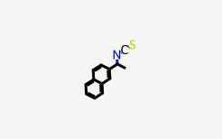 CC(N=C=S)c1ccc2ccccc2c1